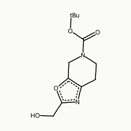 CC(C)(C)OC(=O)N1CCc2nc(CO)oc2C1